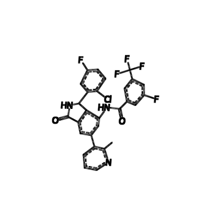 Cc1ncccc1-c1cc(NC(=O)c2cc(F)cc(C(F)(F)F)c2)c2c(c1)C(=O)NC2c1cc(F)ccc1Cl